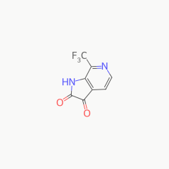 O=C1Nc2c(ccnc2C(F)(F)F)C1=O